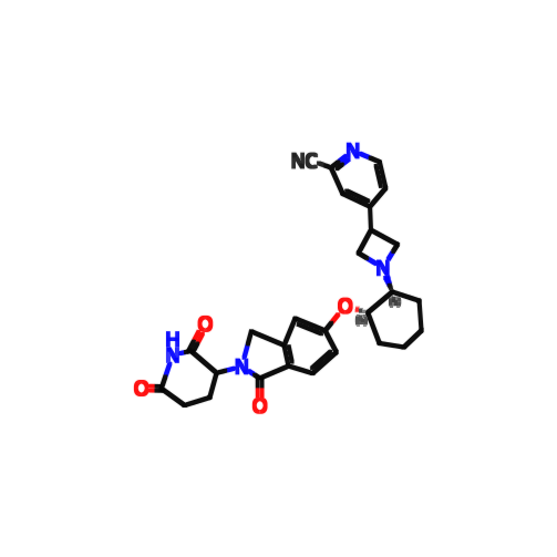 N#Cc1cc(C2CN([C@H]3CCCC[C@@H]3Oc3ccc4c(c3)CN(C3CCC(=O)NC3=O)C4=O)C2)ccn1